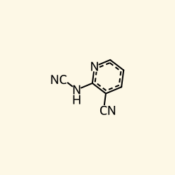 N#CNc1ncccc1C#N